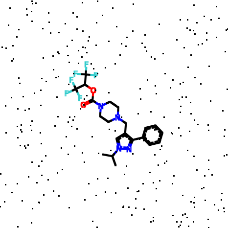 CC(C)n1cc(CN2CCN(C(=O)OC(C(F)(F)F)C(F)(F)F)CC2)c(-c2ccccc2)n1